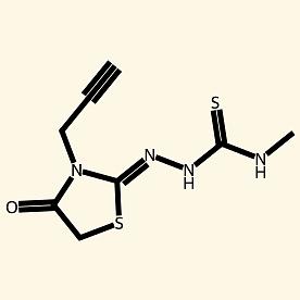 C#CCN1C(=O)CSC1=NNC(=S)NC